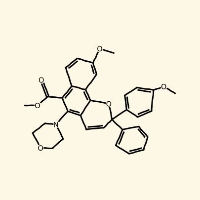 COC(=O)c1c(N2CCOCC2)c2c(c3cc(OC)ccc13)OC(c1ccccc1)(c1ccc(OC)cc1)C=C2